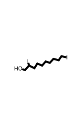 OCC(I)CCCCCCCCI